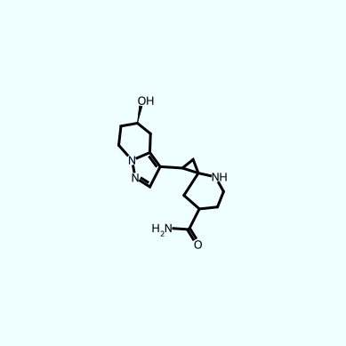 NC(=O)C1CCNC2(C1)CC2c1cnn2c1C[C@H](O)CC2